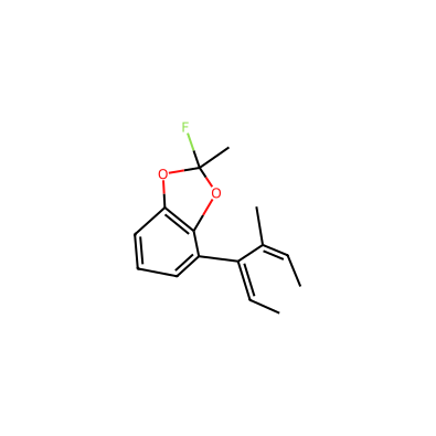 C/C=C(C)\C(=C/C)c1cccc2c1OC(C)(F)O2